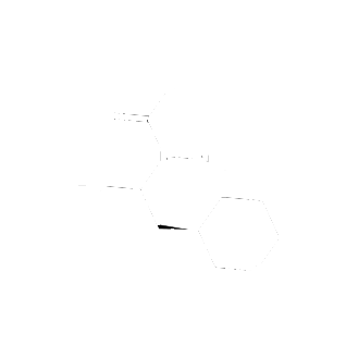 CC(C[C@H]1CCCOC1)N(N)C(=O)O